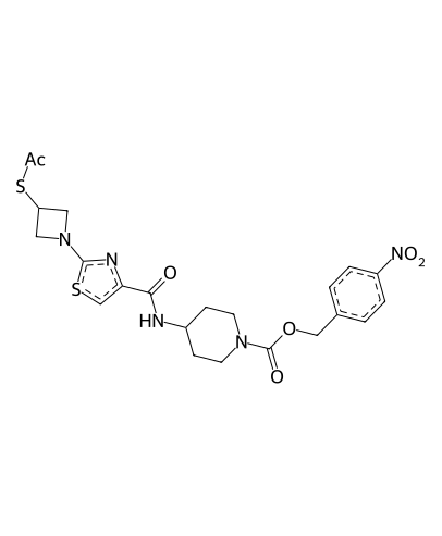 CC(=O)SC1CN(c2nc(C(=O)NC3CCN(C(=O)OCc4ccc([N+](=O)[O-])cc4)CC3)cs2)C1